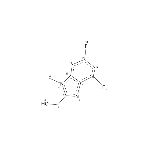 Cn1c(CO)nc2c(F)cc(F)cc21